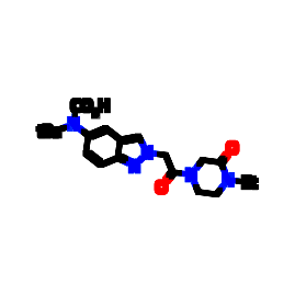 CCN1CCN(C(=O)Cn2cc3cc(N(C(=O)O)C(C)(C)C)ccc3n2)CC1=O